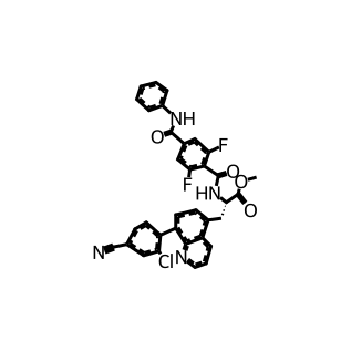 COC(=O)[C@H](Cc1ccc(-c2ccc(C#N)cc2Cl)c2ncccc12)NC(=O)c1c(F)cc(C(=O)Nc2ccccc2)cc1F